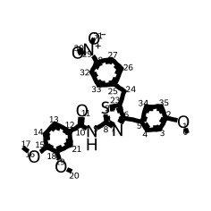 COc1ccc(-c2nc(NC(=O)c3ccc(OC)c(OC)c3)sc2Cc2ccc([N+](=O)[O-])cc2)cc1